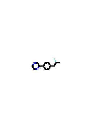 [CH2]/C(F)=C/c1ccc(-c2cnccn2)cc1